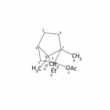 CCC1(OC(C)=O)CC2CCC1(C)C2(C)C